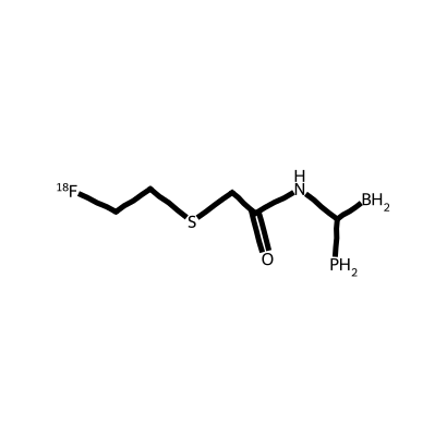 BC(P)NC(=O)CSCC[18F]